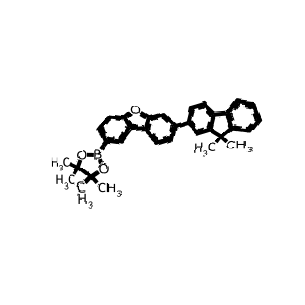 CC1(C)c2ccccc2-c2ccc(-c3ccc4c(c3)oc3ccc(B5OC(C)(C)C(C)(C)O5)cc34)cc21